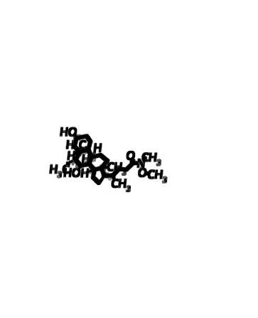 CC[C@H]1[C@@H](O)[C@@H]2[C@H](CC[C@]3(C)[C@@H]([C@H](C)CCC(=O)N(C)OC)CC[C@@H]23)[C@@]2(C)CC[C@@H](O)C[C@@H]12